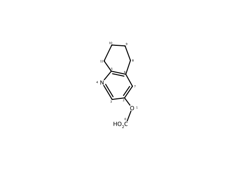 O=C(O)Oc1cnc2c(c1)CCCC2